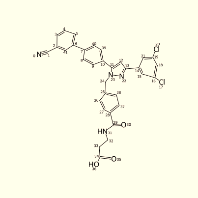 N#Cc1cccc(-c2ccc(-c3cc(-c4cc(Cl)cc(Cl)c4)nn3Cc3ccc(C(=O)NCCC(=O)O)cc3)cc2)c1